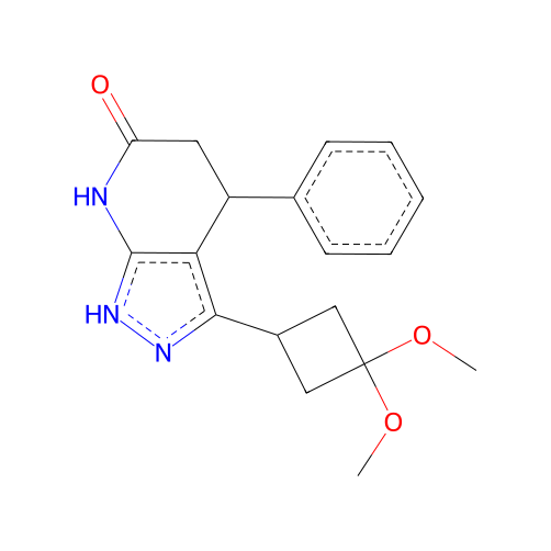 COC1(OC)CC(c2n[nH]c3c2C(c2ccccc2)CC(=O)N3)C1